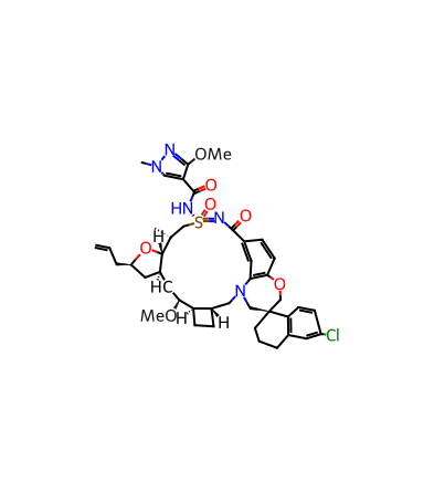 C=CC[C@@H]1C[C@@H]2C[C@H](OC)[C@@H]3CC[C@H]3CN3C[C@@]4(CCCc5cc(Cl)ccc54)COc4ccc(cc43)C(=O)N=[S@](=O)(NC(=O)c3cn(C)nc3OC)C[C@@H](C)[C@H]2O1